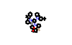 CC(C)(C)c1ccc2c(c1)N(c1cccc3sc4ccccc4c13)c1cc(N3c4ccc(C(C)(C)C)cc4C4(C)CCCCC34C)cc3c1B2c1cccc2c4c(n-3c12)-c1ccccc1C4(C)C